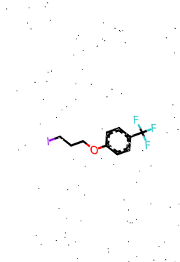 FC(F)(F)c1ccc(OCCCI)cc1